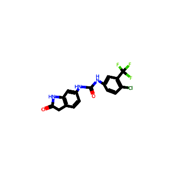 O=C1Cc2ccc(NC(=O)Nc3ccc(Cl)c(C(F)(F)F)c3)cc2N1